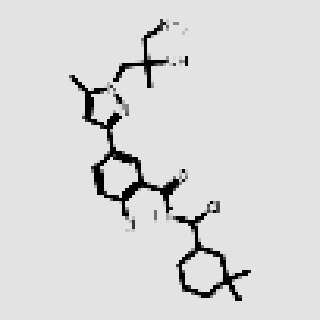 Cc1cc(-c2ccc(Cl)c(C(=O)NC(O)C3CCCC(C)(C)C3)c2)nn1CC(C)(O)CN